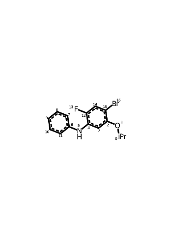 CC(C)Oc1cc(Nc2ccccc2)c(F)cc1Br